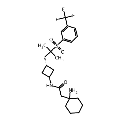 CC(C)(C[C@H]1C[C@H](NC(=O)CC2(N)CCCCC2)C1)S(=O)(=O)c1cccc(C(F)(F)F)c1